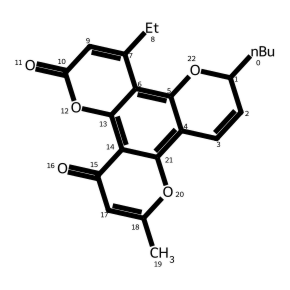 CCCCC1C=Cc2c(c3c(CC)[c]c(=O)oc3c3c(=O)cc(C)oc23)O1